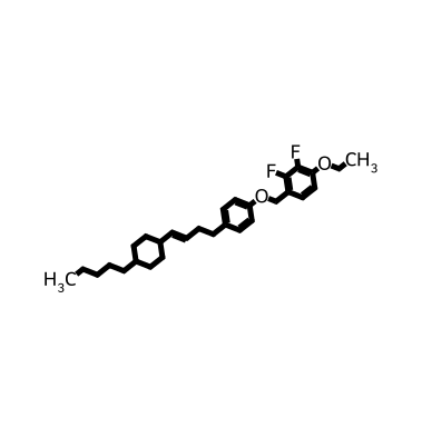 CCCCCC1CCC(/C=C/CCc2ccc(OCc3ccc(OCC)c(F)c3F)cc2)CC1